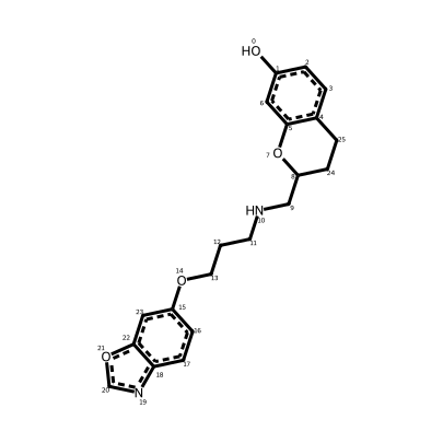 Oc1ccc2c(c1)OC(CNCCCOc1ccc3ncoc3c1)CC2